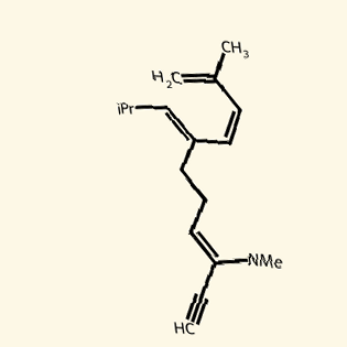 C#C/C(=C/CCC(=CC(C)C)/C=C\C(=C)C)NC